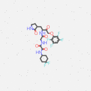 O=C(CNC(=O)C(=O)NC1CCC(F)(F)CC1)NC(CC1CCNC1=O)C(=O)COc1c(F)c(F)cc(F)c1F